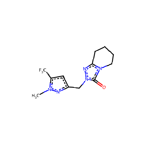 Cn1nc(Cn2nc3n(c2=O)CCCC3)cc1C(F)(F)F